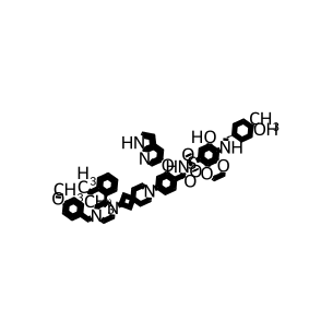 COc1ccc(CN2CCN(C3CC4(CCN(c5ccc(C(=O)NS(=O)(=O)c6cc(O)c(NC[C@H]7CC[C@](C)(O)CC7)c7c6OCCO7)c(Oc6cnc7[nH]ccc7c6)c5)CC4)C3)[C@H](c3ccccc3C(C)C)C2)cc1